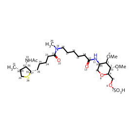 COC1[C@H](OC)C(COS(=O)(=O)O)OC[C@H]1NC(=O)CCCCCN(C)C(=O)CCCC[C@@H]1SC[C@H](C)[C@@H]1NC(C)=O